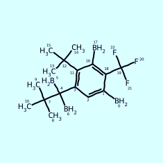 Bc1cc(C(B)(B)C(C)(C)C)c(C(C)(C)C)c(B)c1C(F)(F)F